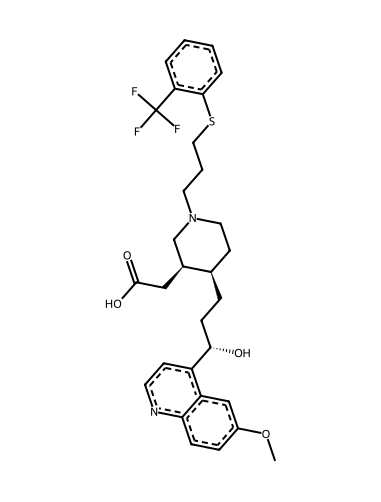 COc1ccc2nccc([C@@H](O)CC[C@@H]3CCN(CCCSc4ccccc4C(F)(F)F)C[C@@H]3CC(=O)O)c2c1